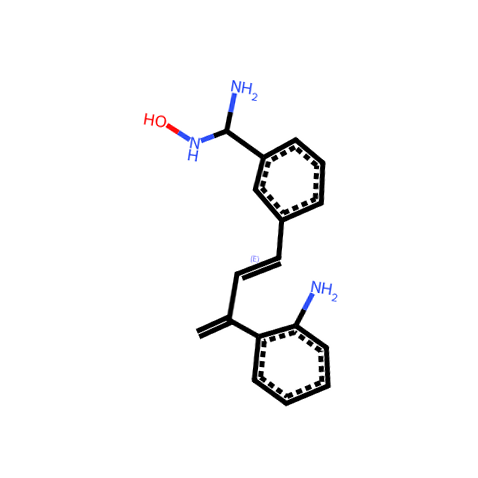 C=C(/C=C/c1cccc(C(N)NO)c1)c1ccccc1N